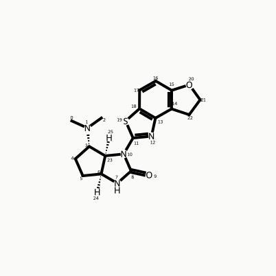 CN(C)[C@H]1CC[C@@H]2NC(=O)N(c3nc4c5c(ccc4s3)OCC5)[C@@H]21